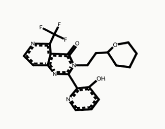 O=c1c2c(C(F)(F)F)nccc2nc(-c2ncccc2O)n1CCC1CCCCO1